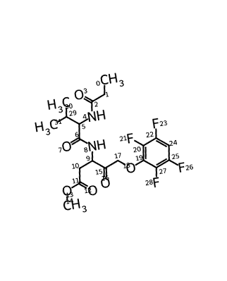 CCC(=O)NC(C(=O)NC(CC(=O)OC)C(=O)COc1c(F)c(F)cc(F)c1F)C(C)C